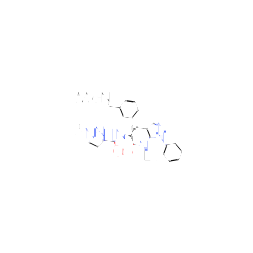 CCN1C(=O)[C@@H](NC(=O)c2ccn(C(F)(F)F)n2)[C@H](c2cccc(CNC)c2)c2cnn(-c3ccccc3)c21